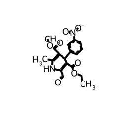 CCOC(=O)C1=C(C=O)NC(C)=C(C(=O)OC)C1c1cccc([N+](=O)[O-])c1